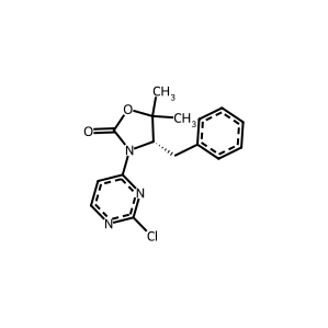 CC1(C)OC(=O)N(c2ccnc(Cl)n2)[C@H]1Cc1ccccc1